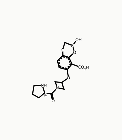 O=C(O)c1c(OC2CN(C(=O)[C@H]3CCCN3)C2)ccc2c1OB(O)CC2